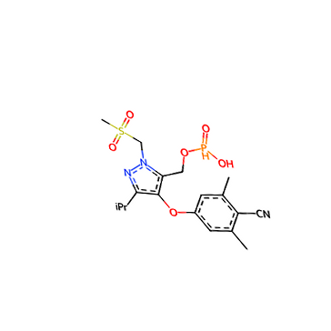 Cc1cc(Oc2c(C(C)C)nn(CS(C)(=O)=O)c2CO[PH](=O)O)cc(C)c1C#N